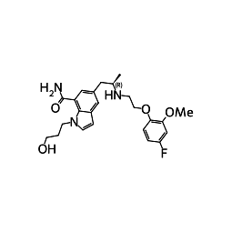 COc1cc(F)ccc1OCCN[C@H](C)Cc1cc(C(N)=O)c2c(ccn2CCCO)c1